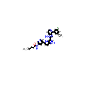 CCCCC(=O)Nc1cncc(-c2ccc3[nH]nc(-c4nc5c(-c6cc(C)cc(F)c6)nccc5[nH]4)c3n2)c1